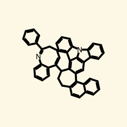 C1=C(/C2CCc3ccc4ccccc4c3-c3cc4c5ccccc5n5c6ccccc6c(c32)c45)c2ccccc2/N=C(/c2ccccc2)CC/1